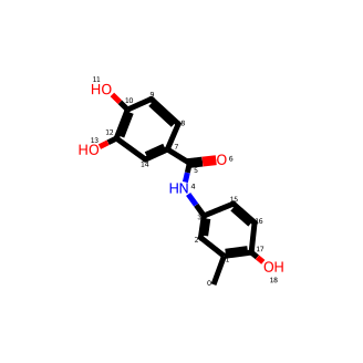 Cc1cc(NC(=O)c2ccc(O)c(O)c2)ccc1O